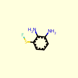 Nc1cccc(SF)c1N